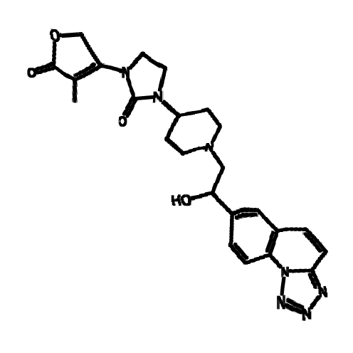 CC1=C(N2CCN(C3CCN(CC(O)c4ccc5c(ccc6nnnn65)c4)CC3)C2=O)COC1=O